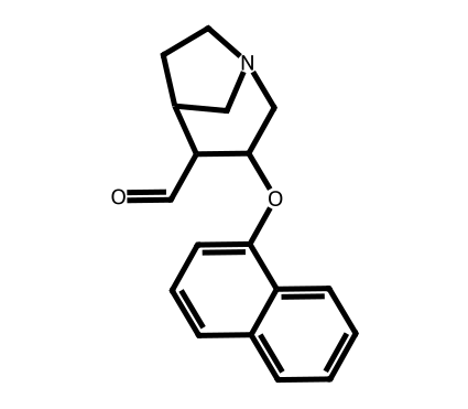 O=CC1C2CCN(C2)CC1Oc1cccc2ccccc12